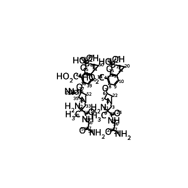 C[C@@](N)(CN1CC(Oc2ccc3c(c2C(=O)O)O[B-](O)(O)C2CC32)C1)C(=O)NCC(N)=O.C[C@@](N)(CN1CC(Oc2ccc3c(c2C(=O)O)O[B-](O)(O)C2CC32)C1)C(=O)NCC(N)=O.[Na+].[Na+]